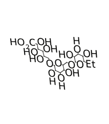 CCC1O[C@H](OCC2O[C@H](OCC(O)[C@@H](O)[C@@H](O)C(O)C(=O)O)C(O)[C@H](O)[C@@H]2O)C(O)[C@H](O)[C@@H]1O